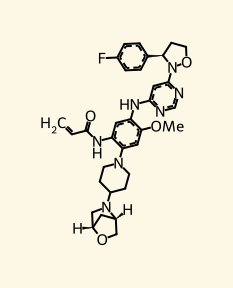 C=CC(=O)Nc1cc(Nc2cc(N3OCC[C@@H]3c3ccc(F)cc3)ncn2)c(OC)cc1N1CCC(N2C[C@@H]3C[C@H]2CO3)CC1